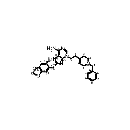 Nc1ncn(CCC2=CCN(Cc3ccccc3)CC2)c2nc(Sc3cc4c(cc3Br)OCO4)nc1-2